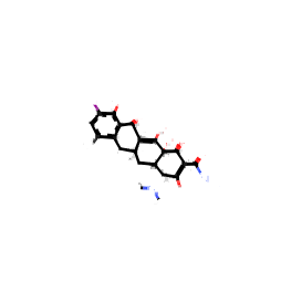 CC(=O)c1cc(I)c(O)c2c1C[C@@H]1C[C@@H]3[C@@H](N(C)C)C(O)=C(C(N)=O)C(=O)[C@]3(O)C(O)=C1C2=O